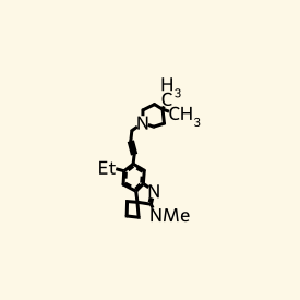 CCc1cc2c(cc1C#CCN1CCC(C)(C)CC1)N=C(NC)C21CCC1